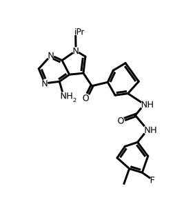 Cc1ccc(NC(=O)Nc2cccc(C(=O)c3cn(C(C)C)c4ncnc(N)c34)c2)cc1F